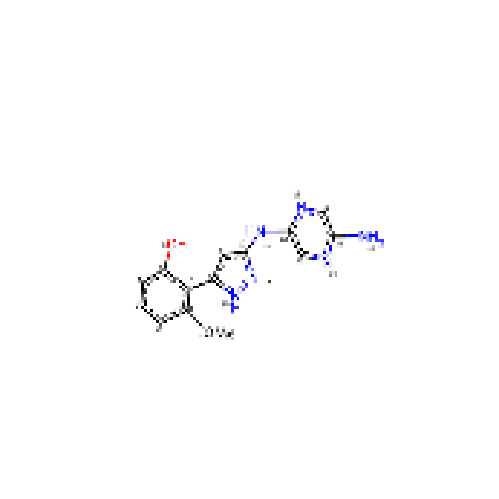 COc1cccc(O)c1-c1cc(Nc2cnc(N)cn2)n[nH]1